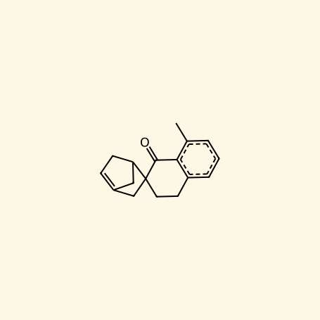 Cc1cccc2c1C(=O)C1(CC2)CC2=CCC1C2